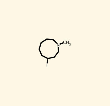 CN1CCCCC[C@H](I)CC1